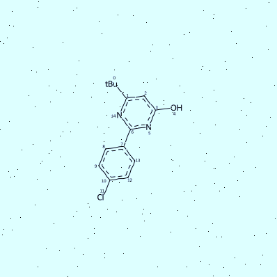 CC(C)(C)c1cc(O)nc(-c2ccc(Cl)cc2)n1